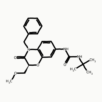 COC[C@@H]1Oc2cc(NC(=O)NC(C)(C)C)ccc2N(Cc2ccccc2)C1=O